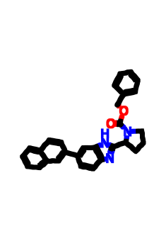 O=C(OCc1ccccc1)N1CCCC1c1nc2ccc(-c3ccc4ccccc4c3)cc2[nH]1